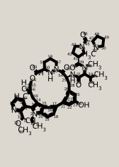 CCn1c(-c2cccnc2[C@H](C)OC)c2c3cc(ccc31)-c1cc(O)cc(c1)C[C@H](NC(=O)C(C(C)C)N(C)C(=O)[C@H]1CCN(C(=O)[C@@H]3CCCN3C)C1)C(=O)N1CCC[C@H](N1)C(=O)OCC(C)(C)C2